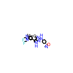 COc1nc(N[C@H]2CC[C@@H](C(=O)N(C)C)CC2)nc2[nH]cc(-c3ccc4nc(C)n(CC(F)F)c4c3)c12